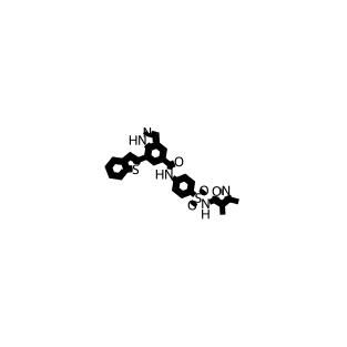 Cc1noc(NS(=O)(=O)c2ccc(NC(=O)c3cc(-c4cc5ccccc5s4)c4[nH]ncc4c3)cc2)c1C